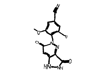 COc1cc(C#N)cc(F)c1-n1nc2c(=O)[nH][nH]c2cc1=O